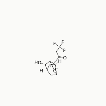 O=C(CC(F)(F)F)N1CC2C[C@H]3C[C@@H](C2)[C@H](O)C31